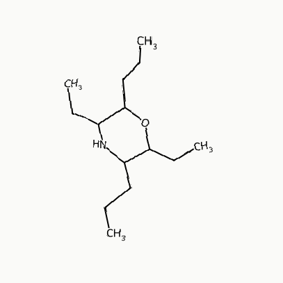 CCCC1NC(CC)C(CCC)OC1CC